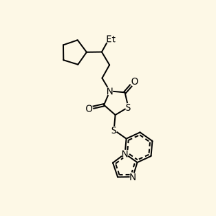 CCC(CCN1C(=O)SC(Sc2cccc3nccn23)C1=O)C1CCCC1